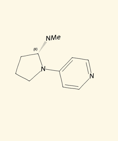 CN[C@H]1CCCN1c1ccncc1